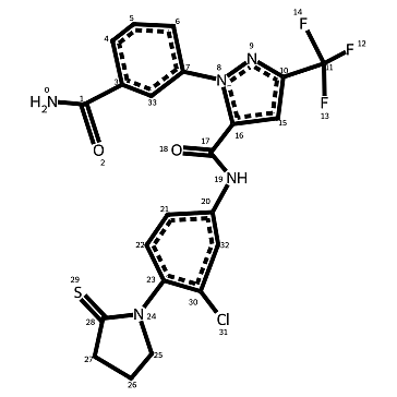 NC(=O)c1cccc(-n2nc(C(F)(F)F)cc2C(=O)Nc2ccc(N3CCCC3=S)c(Cl)c2)c1